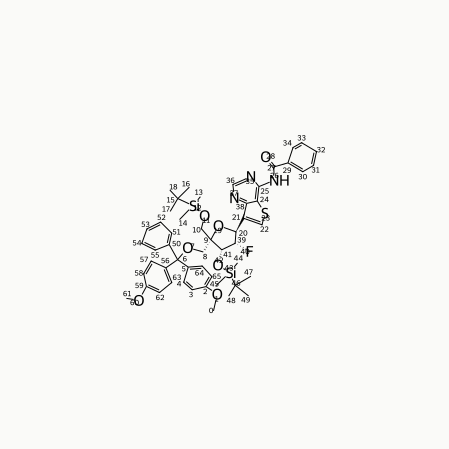 COc1ccc(C(OC[C@]2(CO[Si](C)(C)C(C)(C)C)O[C@@H](c3csc4c(NC(=O)c5ccccc5)ncnc34)[C@H](F)[C@@H]2O[Si](C)(C)C(C)(C)C)(c2ccccc2)c2ccc(OC)cc2)cc1